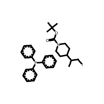 CC(CI)C1CCN(C(=O)OC(C)(C)C)CC1.c1ccc(P(c2ccccc2)c2ccccc2)cc1